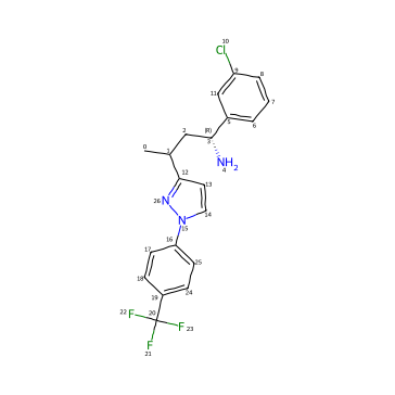 CC(C[C@@H](N)c1cccc(Cl)c1)c1ccn(-c2ccc(C(F)(F)F)cc2)n1